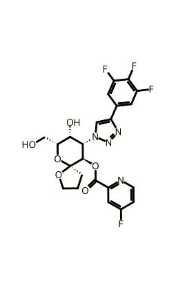 O=C(O[C@@H]1[C@@H](n2cc(-c3cc(F)c(F)c(F)c3)nn2)[C@@H](O)[C@@H](CO)O[C@@]12CCCO2)c1cc(F)ccn1